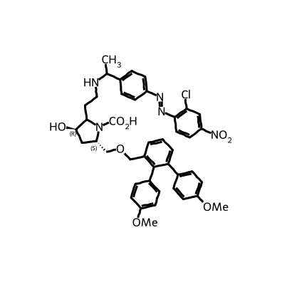 COc1ccc(-c2cccc(COC[C@@H]3C[C@@H](O)C(CCNC(C)c4ccc(N=Nc5ccc([N+](=O)[O-])cc5Cl)cc4)N3C(=O)O)c2-c2ccc(OC)cc2)cc1